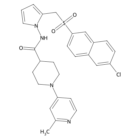 Cc1cc(N2CCC(C(=O)Nn3cccc3CS(=O)(=O)c3ccc4cc(Cl)ccc4c3)CC2)ccn1